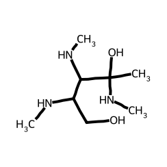 CNC(CO)C(NC)C(C)(O)NC